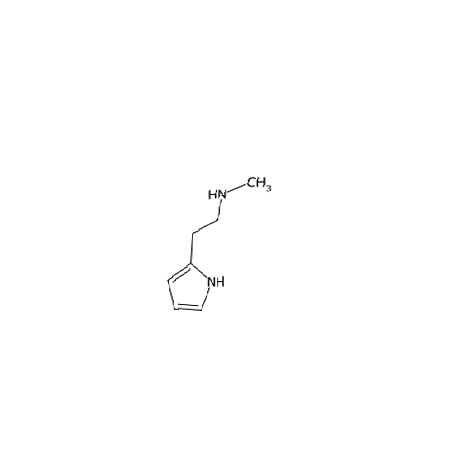 CNCCc1ccc[nH]1